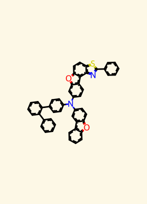 c1ccc(-c2nc3c(ccc4oc5cc(N(c6ccc(-c7ccccc7-c7ccccc7)cc6)c6ccc7oc8ccccc8c7c6)ccc5c43)s2)cc1